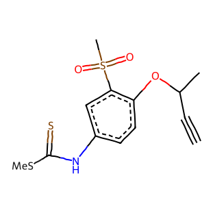 C#CC(C)Oc1ccc(NC(=S)SC)cc1S(C)(=O)=O